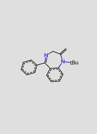 C=C1CN=C(c2ccccc2)c2ccccc2N1C(C)(C)C